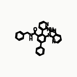 Nc1ncccc1-c1c(C(=O)NCc2ccccc2)cc(-c2ccccc2)cc1-n1cnc2cccnc21